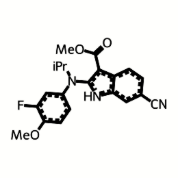 COC(=O)c1c(N(c2ccc(OC)c(F)c2)C(C)C)[nH]c2cc(C#N)ccc12